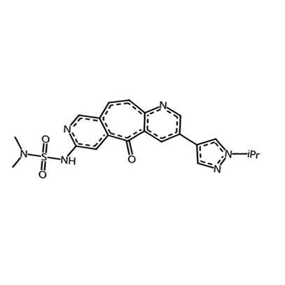 CC(C)n1cc(-c2cnc3ccc4cnc(NS(=O)(=O)N(C)C)cc4c(=O)c3c2)cn1